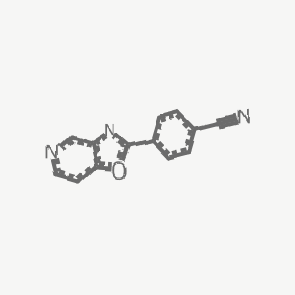 N#Cc1ccc(-c2nc3cnccc3o2)cc1